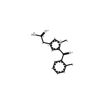 Cc1ccccc1C(=O)c1cc(CC(=O)O)cn1C